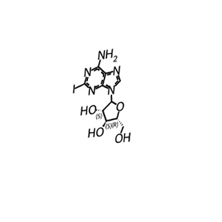 Nc1nc(I)nc2c1ncn2C1O[C@H](CO)[C@@H](O)[C@@H]1O